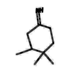 CC1CC(=N)CCC1(C)C